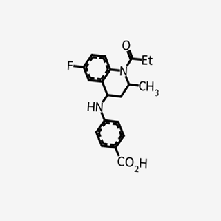 CCC(=O)N1c2ccc(F)cc2C(Nc2ccc(C(=O)O)cc2)CC1C